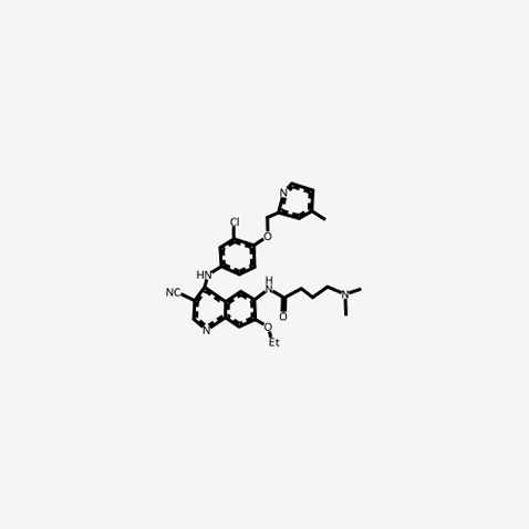 CCOc1cc2ncc(C#N)c(Nc3ccc(OCc4cc(C)ccn4)c(Cl)c3)c2cc1NC(=O)CCCN(C)C